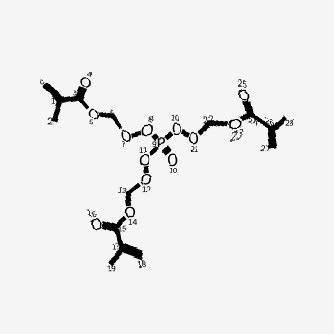 C=C(C)C(=O)OCOOP(=O)(OOCOC(=O)C(=C)C)OOCOC(=O)C(=C)C